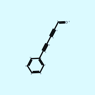 O=CC#CC#Cc1ccccc1